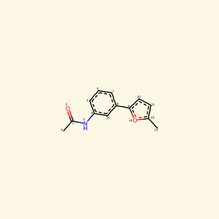 CC(=O)Nc1cccc(-c2ccc(C)o2)c1